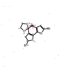 Brc1cc2c(s1)C1=C(CC(Br)S1)C1(OCCO1)C21OCCO1